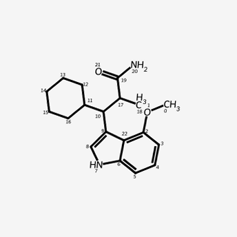 COc1cccc2[nH]cc(C(C3CCCCC3)C(C)C(N)=O)c12